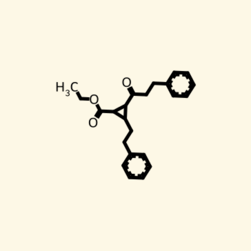 CCOC(=O)C1C(CCc2ccccc2)C1C(=O)CCc1ccccc1